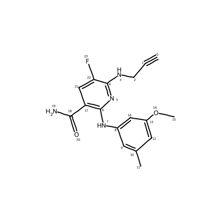 C#CCNc1nc(Nc2cc(C)cc(OC)c2)c(C(N)=O)cc1F